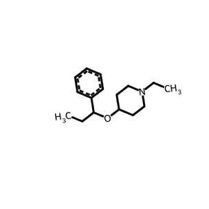 CCC(OC1CCN(CC)CC1)c1ccccc1